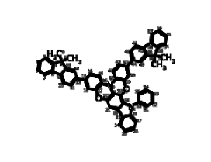 CC1(C)c2ccccc2-c2ccc(-c3ccc4c(c3)Oc3cc5c6ccccc6n(-c6ccccc6)c5c5c3N4c3ccc(-c4ccc6c(c4)C(C)(C)c4ccccc4-6)cc3O5)cc21